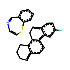 C1=CSc2ccccc2C=N1.Fc1ccc2c(c1)=c1ccc3c(c1CC=2)CCCC=3